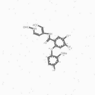 C/C=C(\C=C/NC=O)NC(=O)c1cc(Cl)c(C(F)(F)F)cc1Oc1ccc(F)cc1OC